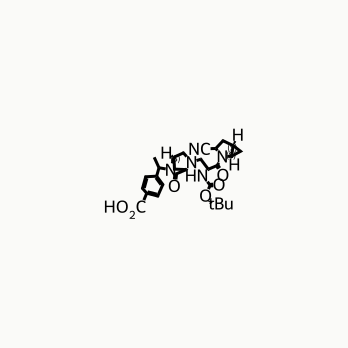 CC(c1ccc(C(=O)O)cc1)N1C(=O)C2C[C@H]1CN2CC(NC(=O)OC(C)(C)C)C(=O)N1C(C#N)C[C@@H]2C[C@@H]21